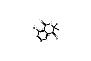 CC1(C)OC(=O)c2c(O)cccc2C1=O